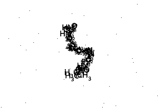 CC(C)(C)c1nc(C(=O)NCc2ccc(-c3ncnn4cc(-c5ccc(CN6CC[C@H](c7ccc(NC8CCC(=O)NC8=O)cc7)CC67CC7)cc5)cc34)cc2F)no1